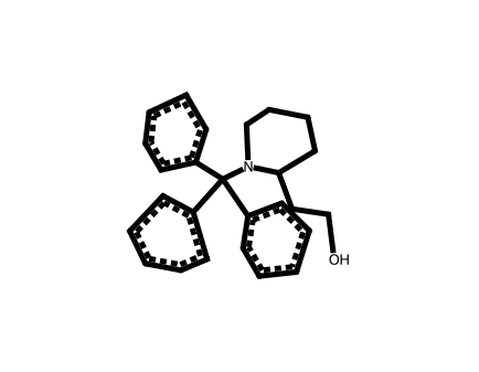 OCCC1CCCCN1C(c1ccccc1)(c1ccccc1)c1ccccc1